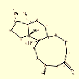 CC(C)[C@H]1CC[C@H]2[C@@H]3CC[C@H](C)CC(=O)CCCC3CC[C@]12C